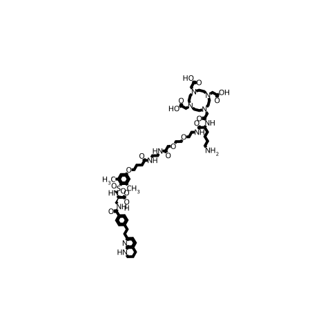 Cc1cc(OCCCC(=O)NCCNC(=O)COCCOCCNC(=O)C(CCCCN)NC(=O)CN2CCN(CC(=O)O)CCN(CC(=O)O)CCN(CC(=O)O)CC2)cc(C)c1S(=O)(=O)N[C@H](CNC(=O)c1ccc(CCc2ccc3c(n2)NCCC3)cc1)C(=O)O